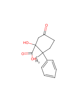 CC1(c2ccccc2)CCC(=O)CC1(O)C(=O)O